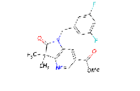 COC(=O)c1cnc2c(c1)N(Cc1cc(F)cc(F)c1)C(=O)C2(C)C